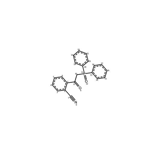 N#Cc1ccccc1C(=O)CP(=O)(c1ccccc1)c1ccccc1